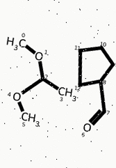 COC(C)OC.O=CC1CCCC1